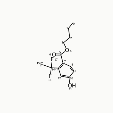 CCCCOC(=O)c1ccc(O)cc1C(F)(F)F